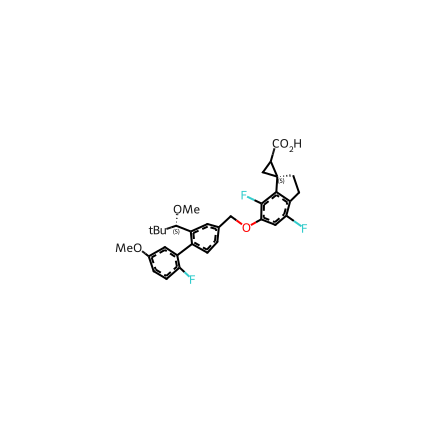 COc1ccc(F)c(-c2ccc(COc3cc(F)c4c(c3F)[C@@]3(CC4)CC3C(=O)O)cc2[C@@H](OC)C(C)(C)C)c1